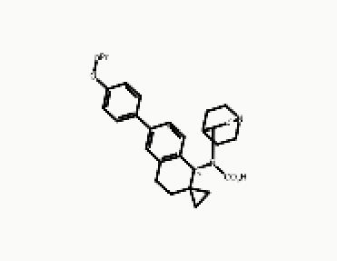 CCCOc1ccc(-c2ccc3c(c2)CCC2(CC2)[C@@H]3N(C(=O)O)C2CN3CCC2CC3)cc1